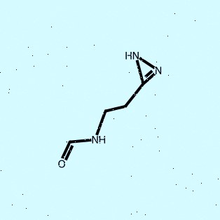 O=[C]NCCC1=NN1